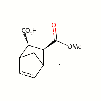 COC(=O)[C@H]1C2C=CC(C2)[C@H]1C(=O)O